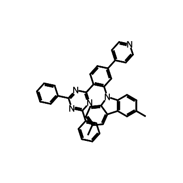 Cc1ccc2c(c1)c1cc(C)ccc1n2-c1cc(-c2ccncc2)ccc1-c1nc(-c2ccccc2)nc(-c2ccccc2)n1